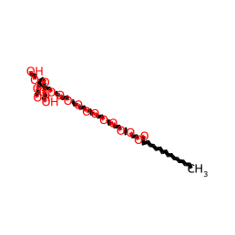 CCCCCCCCCCCCCCCCCC(=O)OCCOCCOCCOCCOCCOCCOCCOCCOCCOCCOCC(OCCO)C1OCC(OCCO)C1OCCO